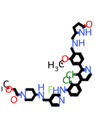 COCC(=O)N1CCC(NCc2ccnc(Nc3cccc(-c4ccnc(-c5ccc(CNCC6CCC(=O)N6)c(OC)c5)c4Cl)c3Cl)c2F)CC1